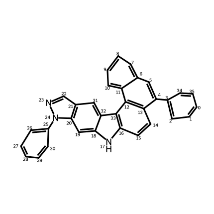 c1ccc(-c2cc3ccccc3c3c2ccc2[nH]c4cc5c(cnn5-c5ccccc5)cc4c23)cc1